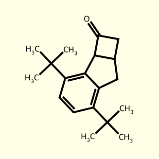 CC(C)(C)c1ccc(C(C)(C)C)c2c1CC1CC(=O)C21